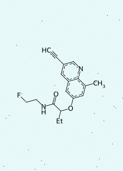 C#Cc1cnc2c(C)cc(OC(CC)C(=O)NCCF)cc2c1